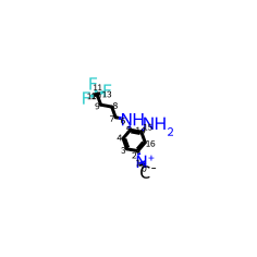 [C-]#[N+]c1ccc(NCCCC(F)(F)F)c(N)c1